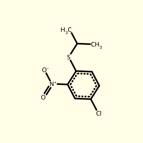 CC(C)Sc1ccc(Cl)cc1[N+](=O)[O-]